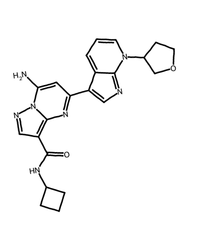 Nc1cc(-c2cnc3n(C4CCOC4)cccc2-3)nc2c(C(=O)NC3CCC3)cnn12